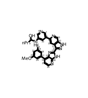 CCCC(O)Nc1cncc(-c2cc3c(-c4nc5c(-c6cc(F)cc(OC)c6)ccnc5[nH]4)n[nH]c3cn2)c1